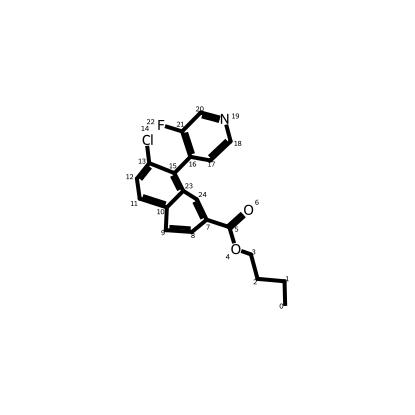 CCCCOC(=O)c1ccc2ccc(Cl)c(-c3ccncc3F)c2c1